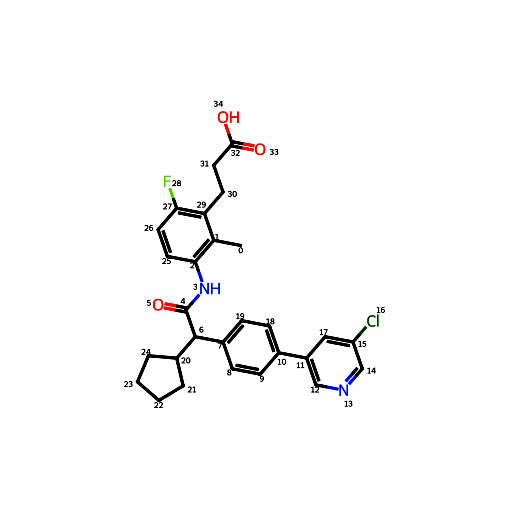 Cc1c(NC(=O)C(c2ccc(-c3cncc(Cl)c3)cc2)C2CCCC2)ccc(F)c1CCC(=O)O